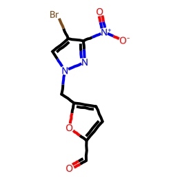 O=Cc1ccc(Cn2cc(Br)c([N+](=O)[O-])n2)o1